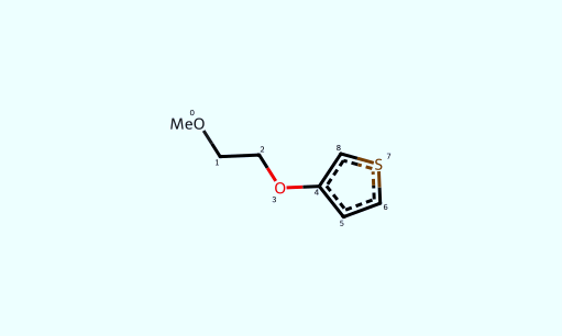 COCCOc1ccsc1